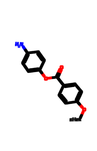 CCCCCCOc1ccc(C(=O)Oc2ccc(N)cc2)cc1